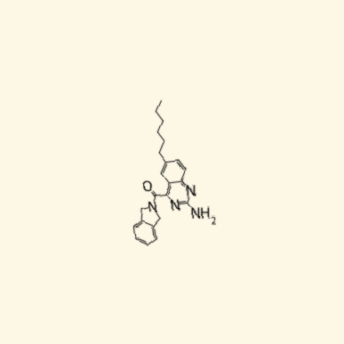 CCCCCCc1ccc2nc(N)nc(C(=O)N3Cc4ccccc4C3)c2c1